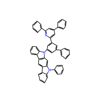 c1ccc(-c2cc(-c3cc(-c4ccccc4)cc(-c4ccccc4)n3)cc(-n3c4ccccc4c4cc5c6ccccc6n(-c6ccccc6)c5cc43)c2)cc1